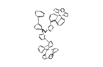 c1ccc(-c2cccc(N(c3cccc(-c4cccc5c4-c4ccccc4C54c5ccccc5Oc5ccccc54)c3)c3cccc(-c4cccc5c4-c4ccccc4C54c5ccccc5Oc5ccccc54)c3)c2)cc1